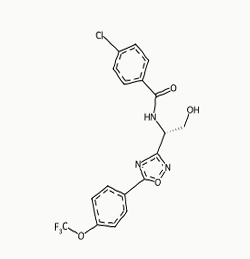 O=C(N[C@H](CO)c1noc(-c2ccc(OC(F)(F)F)cc2)n1)c1ccc(Cl)cc1